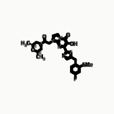 CSc1cc(F)ccc1Cc1cnc(-c2nc3n(CC(=O)N4C[C@@H](C)O[C@H](C)C4)ccn3c(=O)c2O)s1